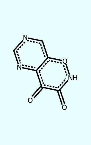 O=c1[nH]oc2cncnc2c1=O